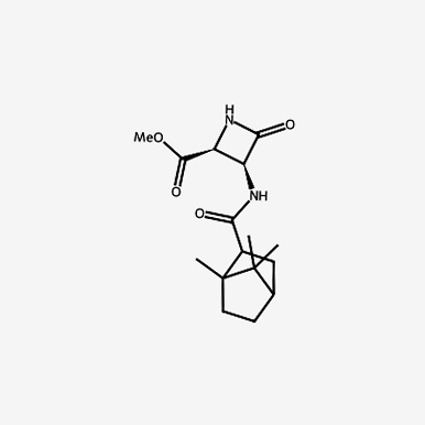 COC(=O)[C@H]1NC(=O)[C@H]1NC(=O)C1CC2CCC1(C)C2(C)C